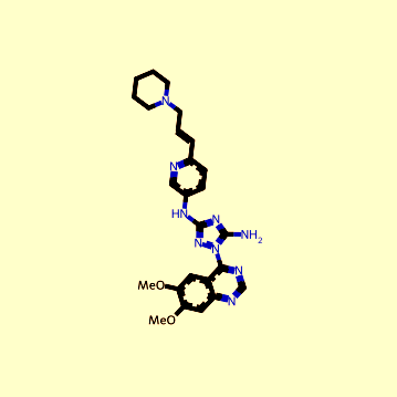 COc1cc2ncnc(-n3nc(Nc4ccc(/C=C/CN5CCCCC5)nc4)nc3N)c2cc1OC